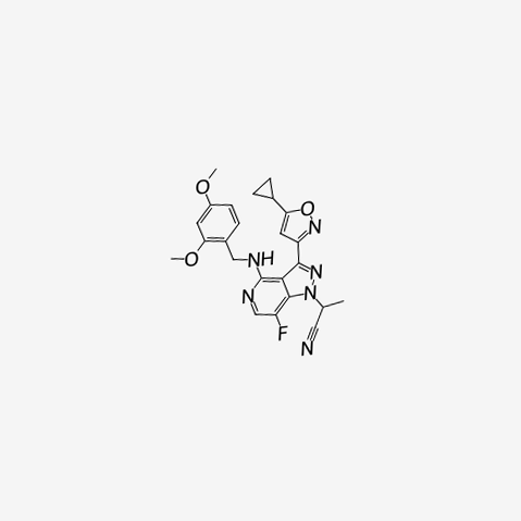 COc1ccc(CNc2ncc(F)c3c2c(-c2cc(C4CC4)on2)nn3C(C)C#N)c(OC)c1